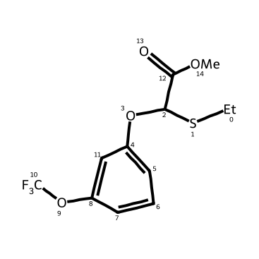 CCSC(Oc1cccc(OC(F)(F)F)c1)C(=O)OC